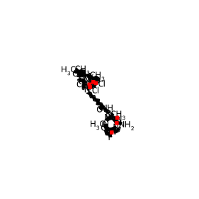 CCOc1cc(C(C)(C)C)ccc1C1=C[C@@](C)(c2ccc(Cl)cc2)[C@@H](c2ccc(Cl)cc2)N1C(=O)N1CCN(CCCCCCCCC(=O)NCCn2nc3c(c2C)-c2cnc(N)c(c2)N2CCC[C@@H]2c2cc(F)ccc2C(=O)N(C)C3)CC1